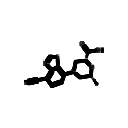 C[C@@H]1CN(c2ccc(C#N)c3ncsc23)C[C@H](C(=O)O)O1